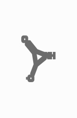 [O]C1NC1=O